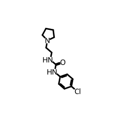 O=C(NCCN1CCCC1)Nc1ccc(Cl)cc1